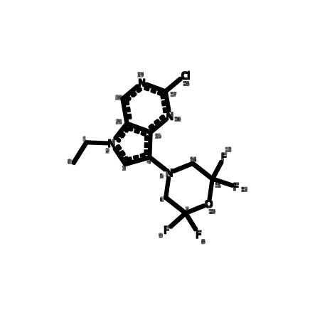 CCn1cc(N2CC(F)(F)OC(F)(F)C2)c2nc(Cl)ncc21